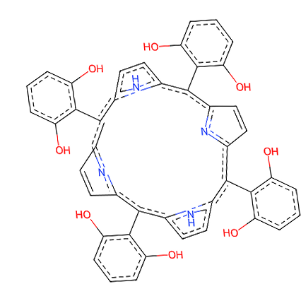 Oc1cccc(O)c1-c1c2nc(c(-c3c(O)cccc3O)c3ccc([nH]3)c(-c3c(O)cccc3O)c3nc(c(-c4c(O)cccc4O)c4ccc1[nH]4)C=C3)C=C2